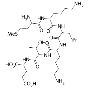 CSCCC(N)C(=O)NC(CCCCN)C(=O)NC(CC(C)C)C(=O)NC(CCCCN)C(=O)NC(C(=O)NC(CCC(=O)O)C(=O)O)C(C)O